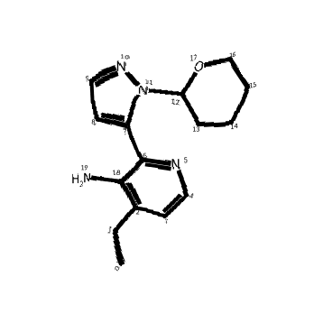 CCc1ccnc(-c2ccnn2C2CCCCO2)c1N